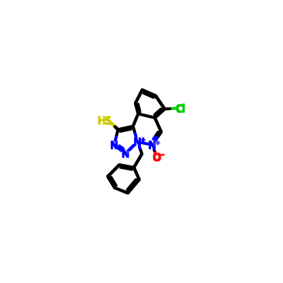 [O-][N+]1=Cc2c(Cl)cccc2C2=C(S)N=N[N+]21Cc1ccccc1